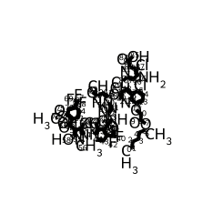 CCCCCC(C)OC(=O)COc1ccc(Cl)c2cccnc12.COc1cc(OC)n2nc(NS(=O)(=O)c3c(C(F)(F)F)ccnc3OC)nc2n1.Cc1nn(C)c(O)c1C(=O)c1ccc(C(F)(F)F)cc1S(C)(=O)=O.Nc1cc(Cl)nc(C(=O)O)c1Cl